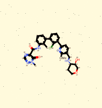 COc1nc(-c2cccc(-c3cccc(NC(=O)c4ncnn(C)c4=O)c3C)c2Cl)ccc1CN[C@@H]1CCOC[C@@H]1O